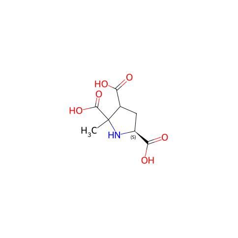 CC1(C(=O)O)N[C@H](C(=O)O)CC1C(=O)O